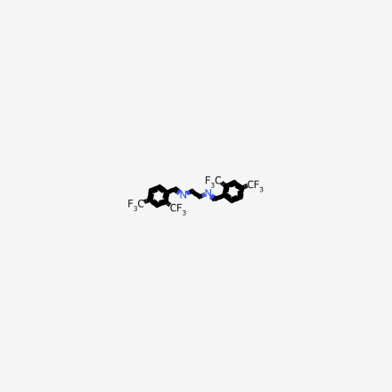 FC(F)(F)c1ccc(/C=N/CC/N=C/c2ccc(C(F)(F)F)cc2C(F)(F)F)c(C(F)(F)F)c1